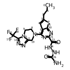 CCCc1cc2c(N3CCn4c(nnc4C(F)(F)F)C3)nc(C(=O)NNC(N)=O)nc2s1